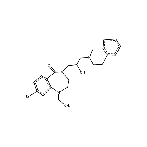 CCN1CCN(CC(O)CN2CCc3ccccc3C2)C(=O)c2ccc(Br)cc21